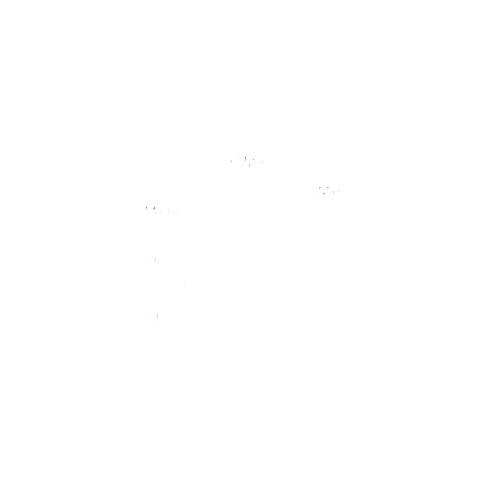 COc1cc(C)c(S(=O)(=O)Cl)c(OC)c1OC